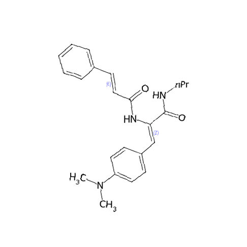 CCCNC(=O)/C(=C/c1ccc(N(C)C)cc1)NC(=O)/C=C/c1ccccc1